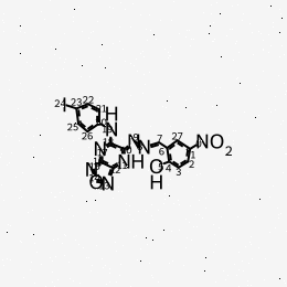 O=[N+]([O-])c1ccc(O)c(/C=N/N=c2\[nH]c3nonc3nc2Nc2ccc(I)cc2)c1